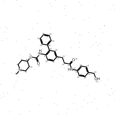 CN1CCC(OC(=O)Nc2ccc(CCC(=O)Nc3ccc(CO)cc3)cc2-c2ccccc2)CC1